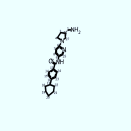 NC[C@H]1CCN(c2ccc(NC(=O)c3ccc(C4CCCCC4)cc3)cn2)C1